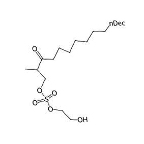 CCCCCCCCCCCCCCCCCC(=O)C(C)COS(=O)(=O)OCCO